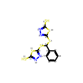 Sc1nnc(SC(Sc2nnc(S)s2)c2ccccc2)s1